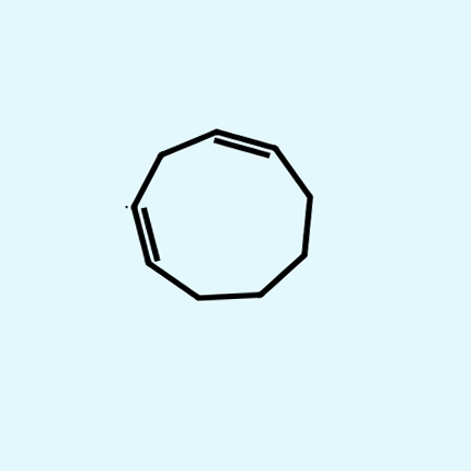 [C]1=C\CCCC/C=C\C/1